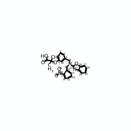 CC(C)(Oc1cccc(CN(Cc2ccccc2[N+](=O)[O-])c2nc3ccccc3o2)c1)C(=O)O